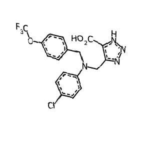 O=C(O)c1[nH]nnc1CN(Cc1ccc(OC(F)(F)F)cc1)c1ccc(Cl)cc1